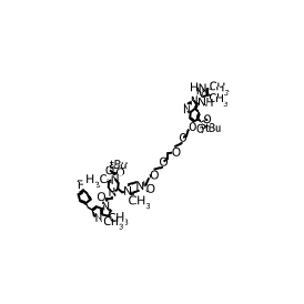 Cc1[nH]nc(Nc2ncnc3cc(OCCOCCOCCOCCOCC(=O)N4CCN(CC5CN(C(=O)OC(C)(C)C)C(C)CN5CC(=O)N5CC(C)(C)c6ncc(Cc7ccc(F)cc7)cc65)C(C)C4)c(S(=O)(=O)C(C)(C)C)cc23)c1C